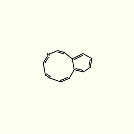 c1ccnccc2ccccc2cc1